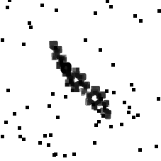 C=CC[C@H]1CC[C@H](CCc2ccc(COCCC=CC)cc2)CC1